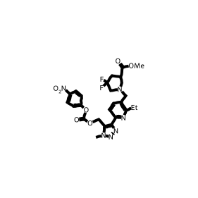 CCc1nc(-c2nnn(C)c2COC(=O)Oc2ccc([N+](=O)[O-])cc2)ccc1CN1CC(C(=O)OC)CC(F)(F)C1